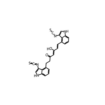 O=C(/C=C(O)/C=C/c1cccc2[nH]cc(N=C=S)c12)CCc1cccc2[nH]cc(N=C=S)c12